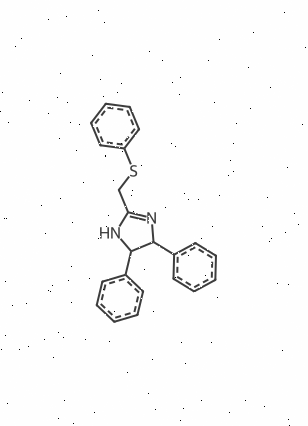 c1ccc(SCC2=NC(c3ccccc3)C(c3ccccc3)N2)cc1